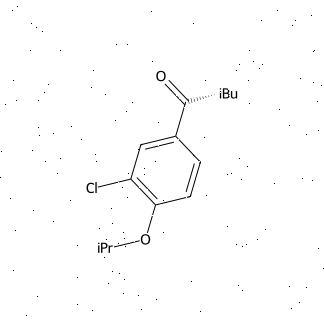 CC[C@@H](C)C(=O)c1ccc(OC(C)C)c(Cl)c1